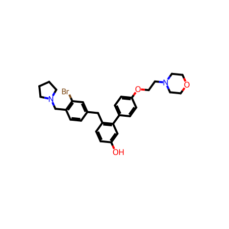 Oc1ccc(Cc2ccc(CN3CCCC3)c(Br)c2)c(-c2ccc(OCCN3CCOCC3)cc2)c1